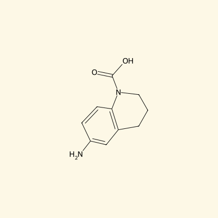 Nc1ccc2c(c1)CCCN2C(=O)O